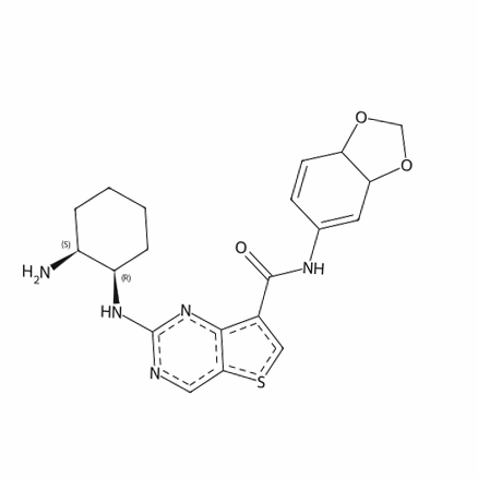 N[C@H]1CCCC[C@H]1Nc1ncc2scc(C(=O)NC3=CC4OCOC4C=C3)c2n1